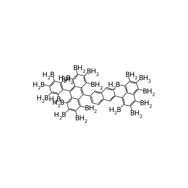 Bc1c(B)c(B)c(-c2c3c(B)c(B)c(B)c(B)c3c(-c3ccc4cc(-c5c(B)c(B)c(B)c6c(B)c(B)c(B)c(B)c56)ccc4c3)c3c(B)c(B)c(B)c(B)c23)c(B)c1B